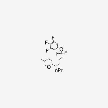 CCCC(CCCC(F)(F)Oc1cc(F)c(F)c(F)c1)C1CCC(C)CO1